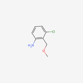 COCc1c(N)cccc1Cl